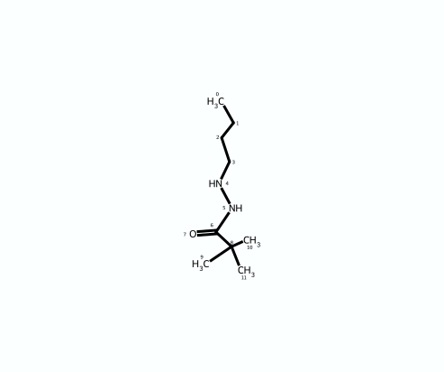 CCCCNNC(=O)C(C)(C)C